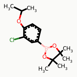 CC(C)Oc1ccc(B2OC(C)(C)C(C)(C)O2)cc1Cl